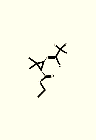 CCOC(=O)[C@H]1[C@@H](C=C(Cl)C(F)(F)F)C1(C)C